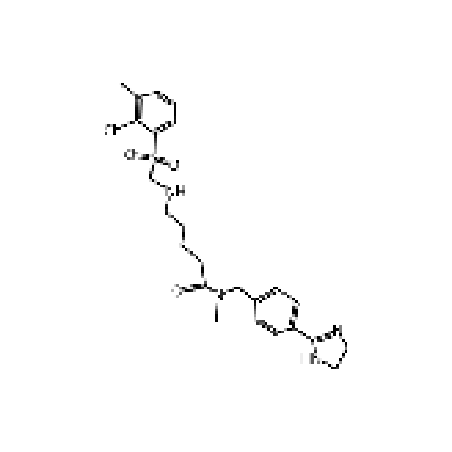 Cc1cccc(S(=O)(=O)CNCCCCC(=O)N(C)Cc2ccc(C3=NCCN3)cc2)c1Cl